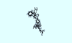 CN(C)CCNS(=O)(=O)c1ccc(N=CC2C(=O)Nc3ccccc32)cc1